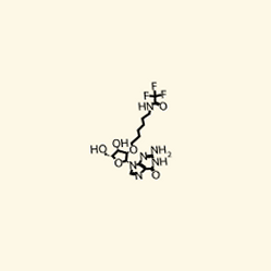 Nc1nc2c(ncn2[C@@H]2O[C@H](CO)[C@H](O)[C@@H]2OCCCCCCNC(=O)C(F)(F)F)c(=O)[nH]1